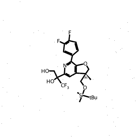 CC(C)(C)[Si](C)(C)OC[C@@]1(C)COc2c1cc(C(O)(CO)C(F)(F)F)nc2-c1ccc(F)c(F)c1